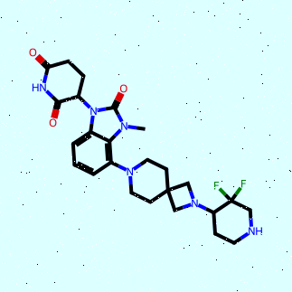 Cn1c(=O)n(C2CCC(=O)NC2=O)c2cccc(N3CCC4(CC3)CN(C3CCNCC3(F)F)C4)c21